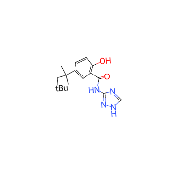 CC(C)(C)CC(C)(C)c1ccc(O)c(C(=O)Nc2nc[nH]n2)c1